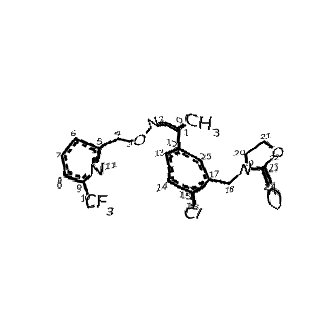 CC(=NOCc1cccc(C(F)(F)F)n1)c1ccc(Cl)c(CN2CCOC2=O)c1